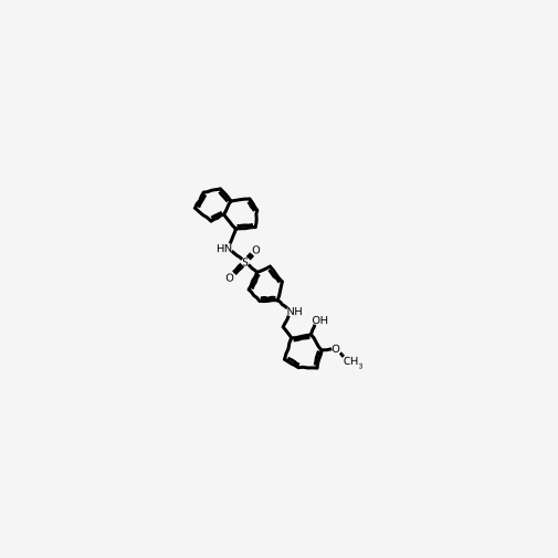 COc1cccc(CNc2ccc(S(=O)(=O)Nc3cccc4ccccc34)cc2)c1O